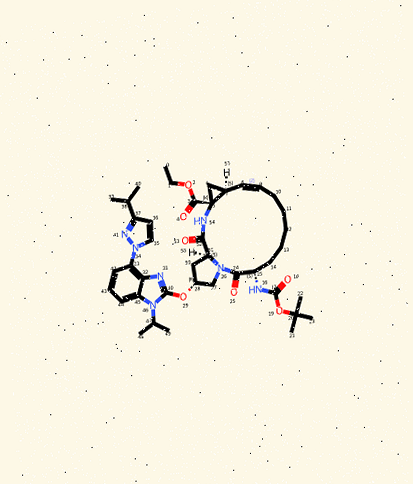 CCOC(=O)[C@@]12C[C@H]1/C=C\CCCCC[C@H](NC(=O)OC(C)(C)C)C(=O)N1C[C@H](Oc3nc4c(-n5ccc(C(C)C)n5)cccc4n3C(C)C)C[C@H]1C(=O)N2